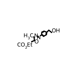 CCOC(=O)CC(=O)C(C)/N=N/c1ccc(CCO)cc1